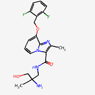 Cc1nc2c(OCc3c(F)cccc3F)cccn2c1C(=O)NCC(C)(N)CO